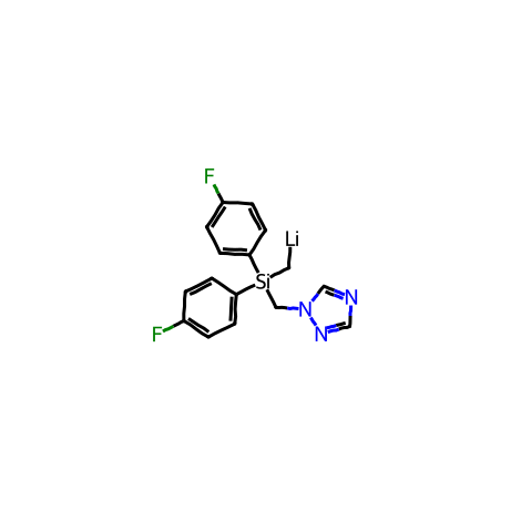 [Li][CH2][Si](Cn1cncn1)(c1ccc(F)cc1)c1ccc(F)cc1